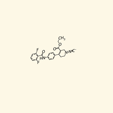 [C-]#[N+]N1CCC(c2ccc(NC(=O)c3c(F)cccc3F)cc2)=C(C(=O)OCC)C1